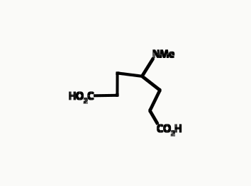 CNC(CCC(=O)O)CCC(=O)O